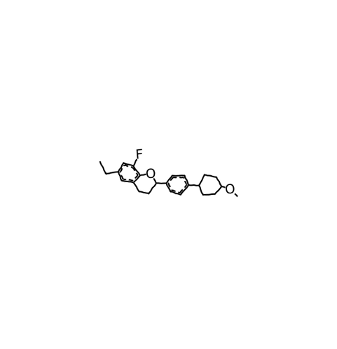 CCc1cc(F)c2c(c1)CCC(c1ccc(C3CCC(OC)CC3)cc1)O2